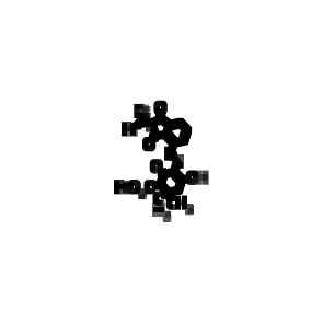 CCOC(=O)C1C(=O)C(/N=N/c2cccc3c2C(=O)N(C(CC)CC)C3=O)=C(O)CC1(C)C